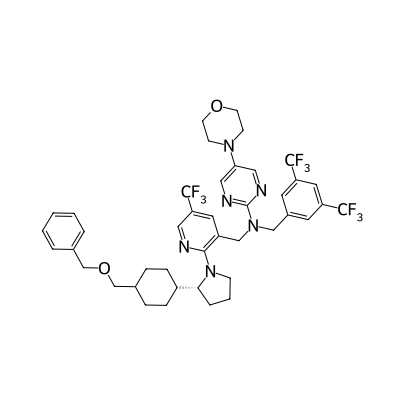 FC(F)(F)c1cc(CN(Cc2cc(C(F)(F)F)cnc2N2CCC[C@@H]2C2CCC(COCc3ccccc3)CC2)c2ncc(N3CCOCC3)cn2)cc(C(F)(F)F)c1